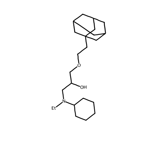 CCN(CC(O)COCCC12CC3CC(CC(C3)C1)C2)C1CCCCC1